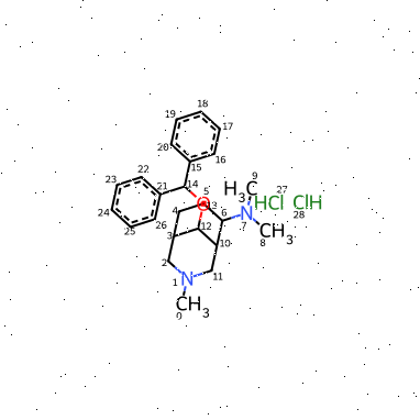 CN1CC2CCC(N(C)C)C(C1)C2OC(c1ccccc1)c1ccccc1.Cl.Cl